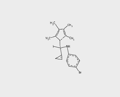 CC1=C(C)C(S(I)(Nc2ccc(Br)cc2)C2=CC2)C(C)=C1C